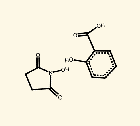 O=C(O)c1ccccc1O.O=C1CCC(=O)N1O